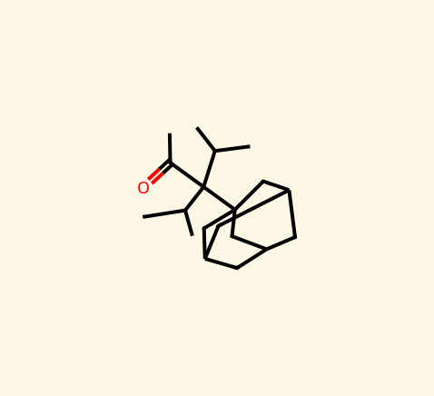 CC(=O)C(C(C)C)(C(C)C)C12CC3CC(CC(C3)C1)C2